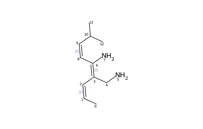 C\C=C/C(CN)=C(N)\C=C/C(C)C